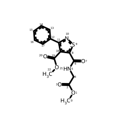 COC(=O)CNC(=O)c1snc(-c2ccccc2)c1C(=O)OC